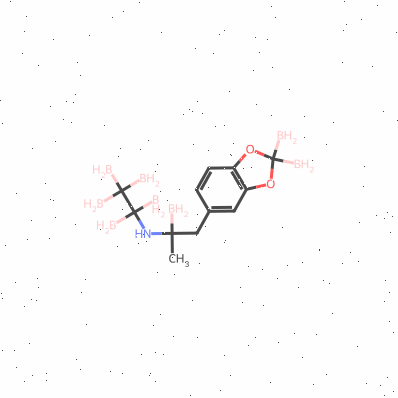 BC(C)(Cc1ccc2c(c1)OC(B)(B)O2)NC(B)(B)C(B)(B)B